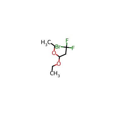 CCOC(CC(F)(F)Br)OCC